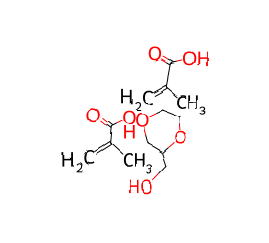 C=C(C)C(=O)O.C=C(C)C(=O)O.OCC1COCCO1